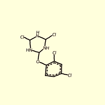 Clc1ccc(OC2NC(Cl)NC(Cl)N2)c(Cl)c1